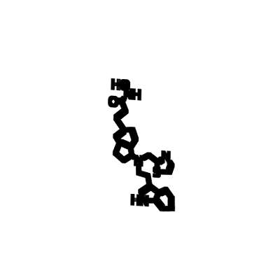 O=C(C=Cc1ccc2c(c1)CCC2N(CCc1c[nH]c2ccccc12)Cc1nccs1)NO